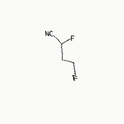 N#CC(F)CCF